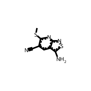 CSc1nc2nsc(N)c2cc1C#N